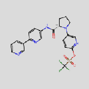 O=C(Nc1ccc(-c2cccnc2)nc1)[C@@H]1CCCN1c1ccc(OS(=O)(=O)C(F)(F)F)nc1